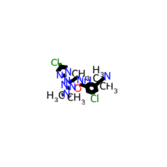 CC(NC(=O)c1cc(Cl)cc(C(C)(C)C#N)c1)c1nc(N(C)C)nn1-c1ncc(Cl)cn1